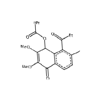 CCCC(=O)OC1C(OC)=C(OC)C(=O)c2ccc(C)c(C(=O)CC)c21